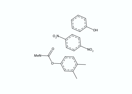 CNC(=O)Oc1ccc(C)c(C)c1.O=[N+]([O-])c1ccc([N+](=O)[O-])cc1.Oc1ccccc1